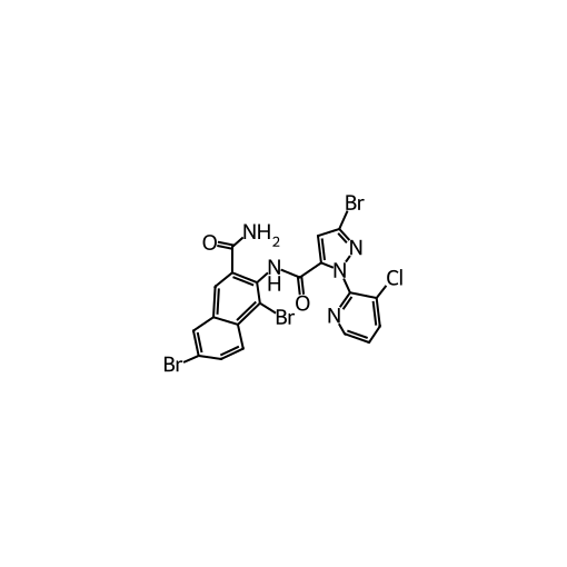 NC(=O)c1cc2cc(Br)ccc2c(Br)c1NC(=O)c1cc(Br)nn1-c1ncccc1Cl